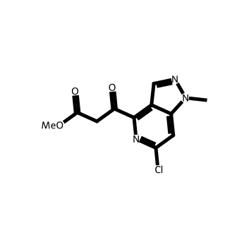 COC(=O)CC(=O)c1nc(Cl)cc2c1cnn2C